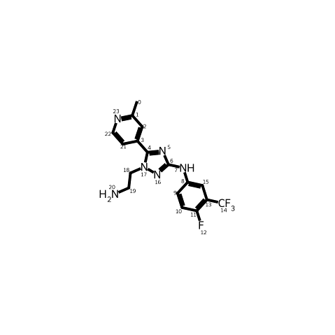 Cc1cc(-c2nc(Nc3ccc(F)c(C(F)(F)F)c3)nn2CCN)ccn1